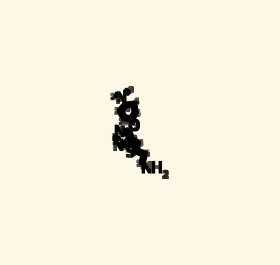 CN(C)[C@H]1CC[C@H](Oc2ncnc3sc(CCN)cc23)CC1